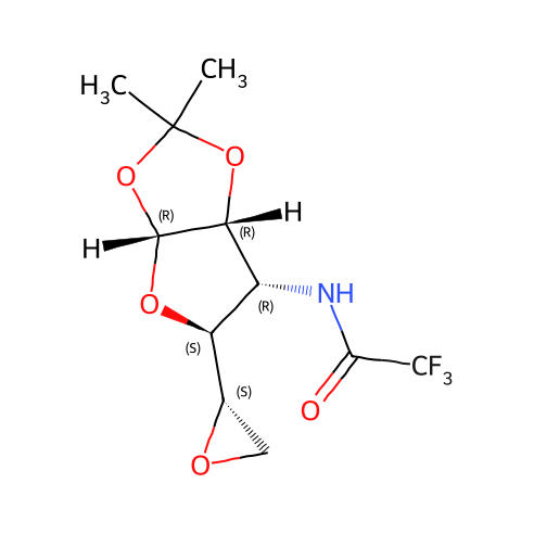 CC1(C)O[C@H]2O[C@H]([C@@H]3CO3)[C@@H](NC(=O)C(F)(F)F)[C@H]2O1